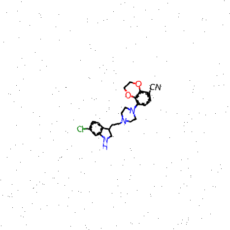 N#Cc1ccc(N2CCN(CCC3CNc4cc(Cl)ccc43)CC2)c2c1OCCO2